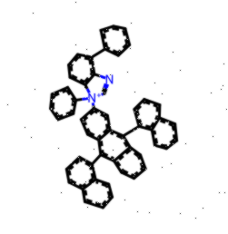 C1=Nc2c(-c3ccccc3)cccc2[N+]1(c1ccccc1)c1ccc2c(-c3cccc4ccccc34)c3ccccc3c(-c3cccc4ccccc34)c2c1